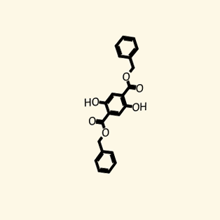 O=C(OCc1ccccc1)c1cc(O)c(C(=O)OCc2ccccc2)cc1O